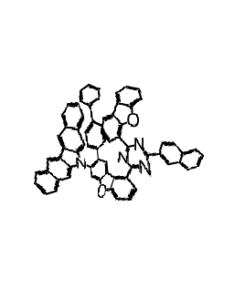 c1ccc(-c2ccc(-c3cc4c(cc3-n3c5cc6ccccc6cc5c5cc6ccccc6cc53)oc3cccc(-c5nc(-c6ccc7ccccc7c6)nc(-c6cccc7c6oc6ccccc67)n5)c34)cc2)cc1